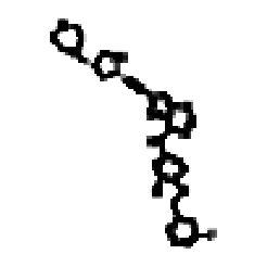 Fc1cccc(COc2ccc(Nc3ncnc4cc(C#C[C@@H]5C[C@H](CN6CCOCC6)CN5)sc34)cc2Cl)c1